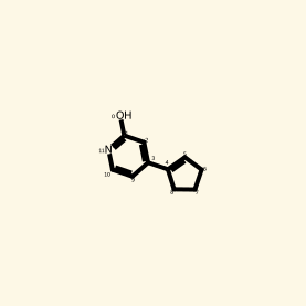 Oc1cc(C2=CCCC2)ccn1